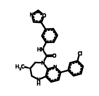 C[C@@H]1CNc2ccc(-c3cccc(Cl)c3)nc2N(C(=O)Nc2cccc(-c3cnco3)c2)C1